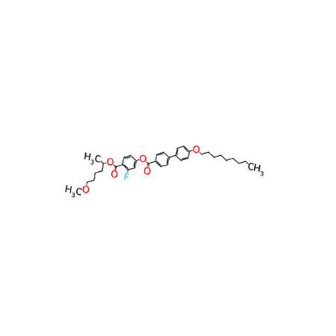 CCCCCCCCCOc1ccc(-c2ccc(C(=O)Oc3ccc(C(=O)OC(C)CCCCOC)c(F)c3)cc2)cc1